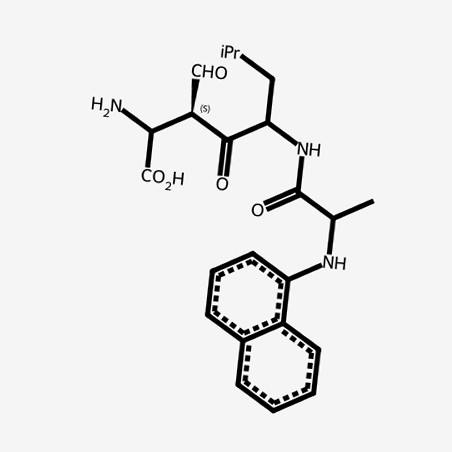 CC(C)CC(NC(=O)C(C)Nc1cccc2ccccc12)C(=O)[C@H](C=O)C(N)C(=O)O